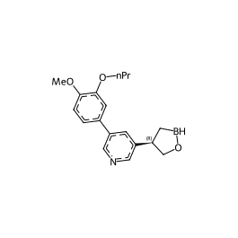 CCCOc1cc(-c2cncc([C@H]3CBOC3)c2)ccc1OC